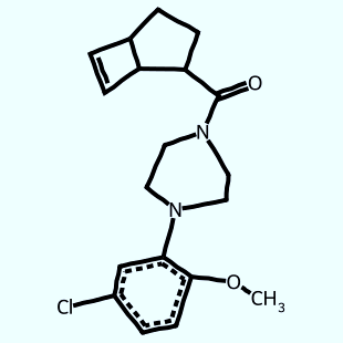 COc1ccc(Cl)cc1N1CCN(C(=O)C2CCC3C=CC32)CC1